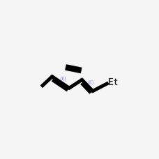 C/C=C/C=C/CC.C=C